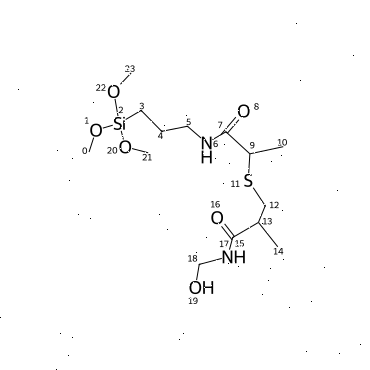 CO[Si](CCCNC(=O)C(C)SCC(C)C(=O)NCO)(OC)OC